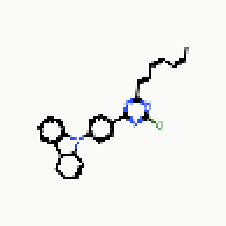 C\C=C/C=C\C=C\c1nc(Cl)nc(-c2ccc(N3c4ccccc4C4CCC=CC43)cc2)n1